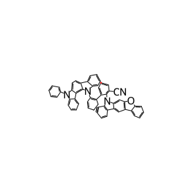 N#Cc1cccc(C2=C(n3c4ccccc4c4ccc5c(c6ccccc6n5-c5ccccc5)c43)C=CCC2)c1-n1c2c#cccc2c2cc3c(cc21)oc1ccccc13